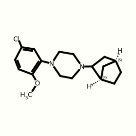 COc1ccc(Cl)cc1N1CCN(C2C[C@H]3CC[C@@H]2C3)CC1